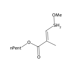 CCCCCOC(=O)C(C)=C[SiH2]OC